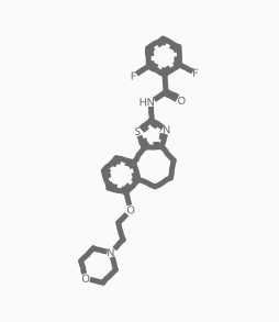 O=C(Nc1nc2c(s1)-c1cccc(OCCN3CCOCC3)c1CCC2)c1c(F)cccc1F